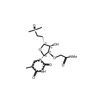 CNC(=O)CO[C@@H]1[C@H](O)[C@@H](CCP(C)(C)=O)O[C@H]1n1cc(C)c(=O)[nH]c1=O